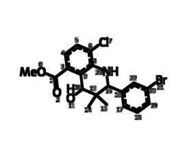 COC(=O)c1ccc(Cl)c2c1C(O)C(C)(C)C(c1cccc(Br)c1)N2